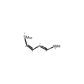 CN/C=N/C=C\SC